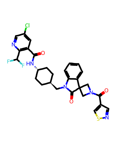 O=C(N[C@H]1CC[C@H](CN2C(=O)C3(CN(C(=O)c4cnsc4)C3)c3ccccc32)CC1)c1cc(Cl)cnc1C(F)F